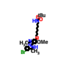 COc1cc2c(N[C@H](C)c3cccc(Br)c3)nc(C)nc2cc1OCCCCCCCCNC(=O)OC(C)(C)C